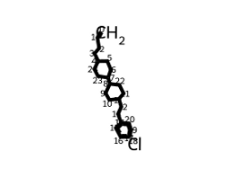 C=CCCC1CCC(C2CCC(CCc3ccc(Cl)cc3)CC2)CC1